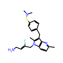 Cc1ccc2c(n1)c(Cc1ccc(SN(C)C)cc1)c(C)n2C/C(F)=C/CN